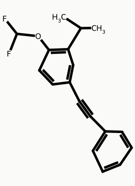 CC(C)c1cc(C#Cc2ccccc2)ccc1OC(F)F